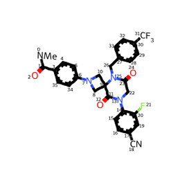 CNC(=O)c1ccc(N2CC3(C2)C(=O)N(c2ccc(C#N)cc2F)CC(=O)N3Cc2ccc(C(F)(F)F)cc2)cc1